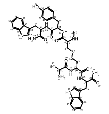 CCN[C@@H](CSSC[C@H](NC(=O)[C@@H](N)C(C)C)C(=O)NC(Cc1c[nH]c2ccccc12)C(N)=O)C(=O)NC(Cc1ccc(O)cc1)C(=O)N[C@H](Cc1c[nH]c2ccccc12)C(N)=O